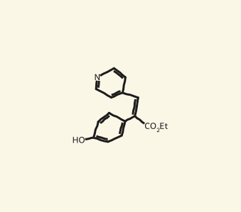 CCOC(=O)C(=Cc1ccncc1)c1ccc(O)cc1